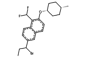 CCC(Br)c1ccc2c(C(F)F)c(O[C@H]3CC[C@@H](C)CC3)ccc2c1